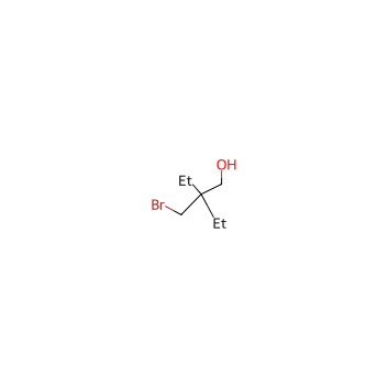 CCC(CC)(CO)CBr